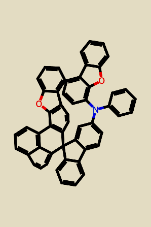 c1ccc(N(c2ccc3c(c2)C2(c4ccccc4-3)c3ccc4c(oc5ccccc54)c3-c3cccc4cccc2c34)c2cccc3c2oc2ccccc23)cc1